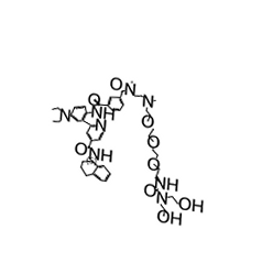 CCN(CC)c1ccc(NC(=O)c2cccc(C(=O)N(C)CCN(C)CCOCCOCCOCCNC(=O)N(CCO)CCO)c2)c(-c2cc(C(=O)N[C@H]3CCCc4ccccc43)ccn2)c1